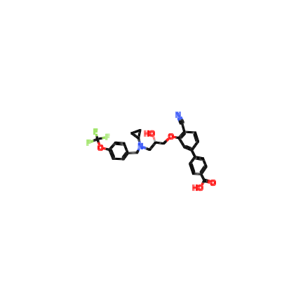 N#Cc1ccc(-c2ccc(C(=O)O)cc2)cc1OC[C@@H](O)CN(Cc1ccc(OC(F)(F)F)cc1)C1CC1